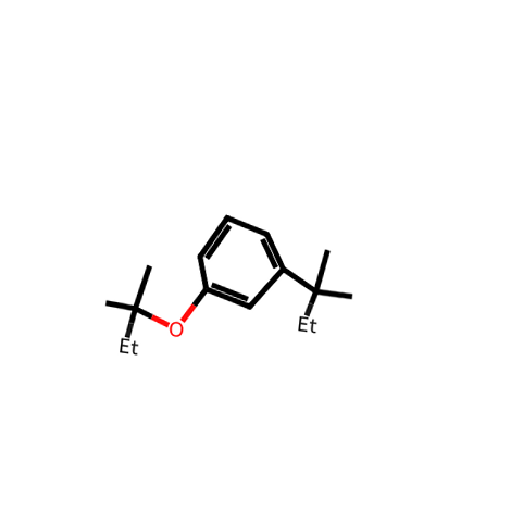 CCC(C)(C)Oc1cccc(C(C)(C)CC)c1